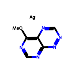 COc1ncnc2nncnc12.[Ag]